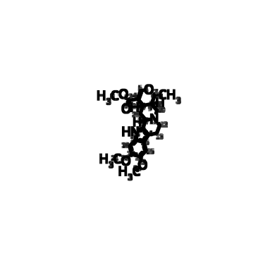 COC(=O)C1=CO[C@@H](C)[C@@H]2CN3CCc4c([nH]c5cc(OC)c(OC)cc45)[C@@H]3C[C@H]12